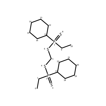 CCP(=S)(SCSP(=S)(CC)C1CCCCC1)C1CCCCC1